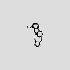 O=C1OCCN1CN1CCN2c3cccc(Br)c3C[C@@H]2C1